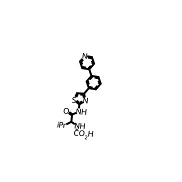 CC(C)C(NC(=O)O)C(=O)Nc1nc(-c2cccc(-c3ccncc3)c2)cs1